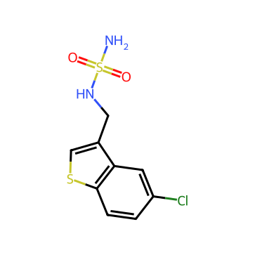 NS(=O)(=O)NCc1csc2ccc(Cl)cc12